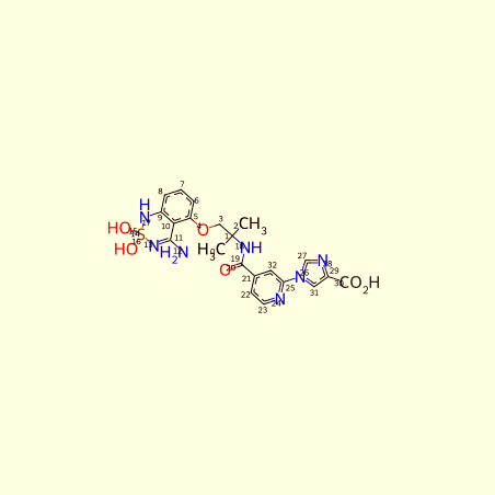 CC(C)(COc1cccc2c1C(N)=NS(O)(O)N2)NC(=O)c1ccnc(-n2cnc(C(=O)O)c2)c1